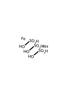 O=S(=O)(O)O.O=S(=O)(O)O.O=S(=O)(O)O.[Fe].[KH]